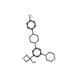 OC1(c2cc(N3CCOCC3)cc(N3CCC(c4ccc(C(F)(F)F)cc4)CC3)c2)COC1